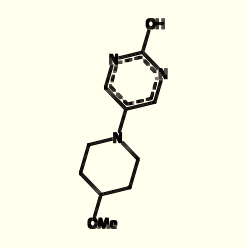 COC1CCN(c2cnc(O)nc2)CC1